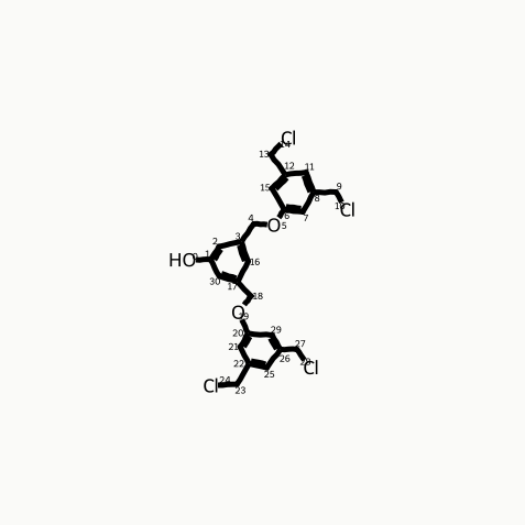 Oc1cc(COc2cc(CCl)cc(CCl)c2)cc(COc2cc(CCl)cc(CCl)c2)c1